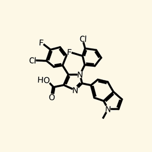 Cn1ccc2ccc(-c3nc(C(=O)O)c(-c4ccc(F)c(Cl)c4)n3-c3cccc(Cl)c3F)cc21